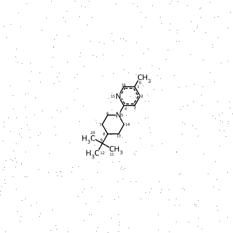 Cc1ccc(N2CCC(C(C)(C)C)CC2)nc1